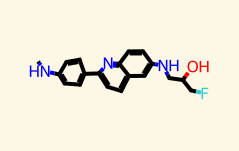 CNc1ccc(-c2ccc3cc(NCC(O)CF)ccc3n2)cc1